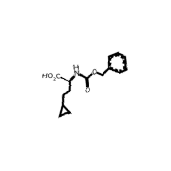 O=C(N[C@@H](CCC1CC1)C(=O)O)OCc1ccccc1